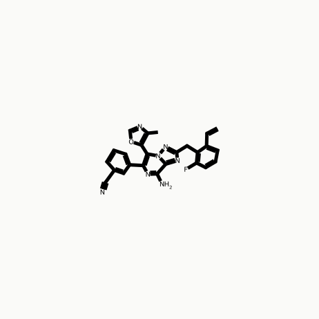 C=Cc1cccc(F)c1Cc1nc2c(N)nc(-c3cccc(C#N)c3)c(-c3ocnc3C)n2n1